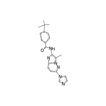 Cc1c(NC(=O)c2ccc(C(C)(C)C)cc2)nc2ccc(-n3ccnc3)nn12